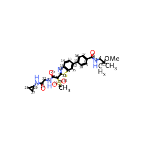 COC(C)(C)CNC(=O)c1ccc(-c2ccc3nc(C(C(=O)NCC(=O)NC4CC4)S(C)(=O)=O)sc3c2)cc1